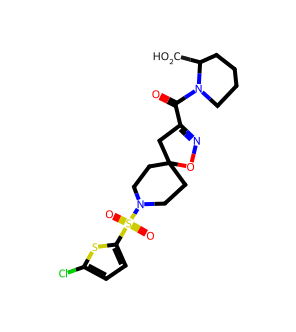 O=C(O)C1CCCCN1C(=O)C1=NOC2(CCN(S(=O)(=O)c3ccc(Cl)s3)CC2)C1